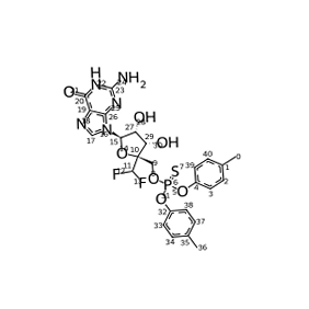 Cc1ccc(OP(=S)(OC[C@@]2(C(F)F)O[C@@H](n3cnc4c(=O)[nH]c(N)nc43)[C@H](O)[C@@H]2O)Oc2ccc(C)cc2)cc1